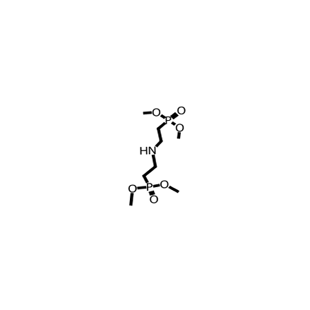 COP(=O)(CCNCCP(=O)(OC)OC)OC